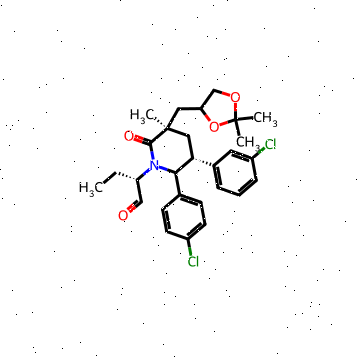 CC[C@@H](C=O)N1C(=O)[C@@](C)(CC2COC(C)(C)O2)C[C@H](c2cccc(Cl)c2)C1c1ccc(Cl)cc1